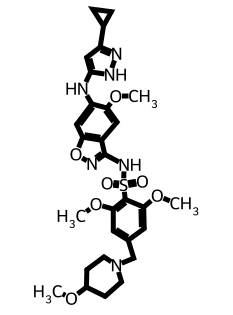 COc1cc2c(NS(=O)(=O)c3c(OC)cc(CN4CCC(OC)CC4)cc3OC)noc2cc1Nc1cc(C2CC2)n[nH]1